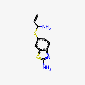 C=CC(N)Sc1ccc2nc(N)sc2c1